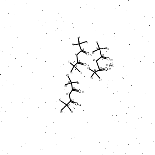 CC(C)(C)C(=O)CC(=O)C(C)(C)C.CC(C)(C)C(=O)CC(=O)C(C)(C)C.CC(C)(C)C(=O)CC(=O)C(C)(C)C.[Al]